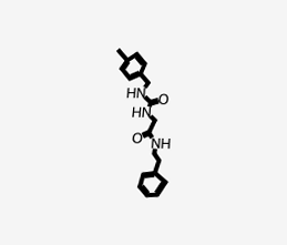 Cc1ccc(CNC(=O)NCC(=O)NCCc2ccccc2)cc1